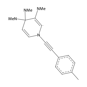 CNC1=[C]N(C#Cc2ccc(C)cc2)C=CC1(NC)NC